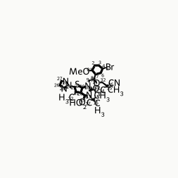 COc1ccc(Br)cc1[C@H](Cn1c(=O)n(C(C)(C)C(=O)O)c(=O)c2c(C)c(-n3nccn3)sc21)OCC(C)(C)C#N